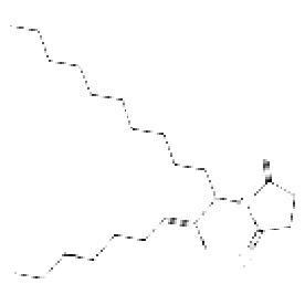 CCCCCC/C=C(\C)C(CCCCCCCCCC)N1C(=O)CCC1=O